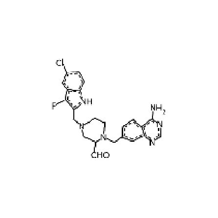 Nc1ncnc2cc(CN3CCN(Cc4[nH]c5ccc(Cl)cc5c4F)CC3C=O)ccc12